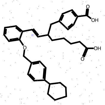 O=C(O)CCCCC(/C=C/c1ccccc1OCc1ccc(C2CCCCC2)cc1)Cc1ccc(C(=O)O)cc1